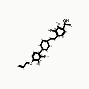 C=CCOc1ccc(C2CCC(CCc3ccc(C(C)O)c(F)c3F)CC2)c(F)c1F